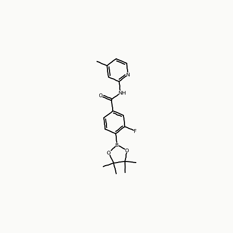 Cc1ccnc(NC(=O)c2ccc(B3OC(C)(C)C(C)(C)O3)c(F)c2)c1